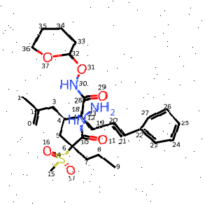 C=C(C)C[C@H](CC(CCC)(C(=O)NN)S(C)(=O)=O)[C@H](C/C=C/c1ccccc1)C(=O)NOC1CCCCO1